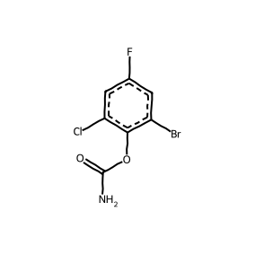 NC(=O)Oc1c(Cl)cc(F)cc1Br